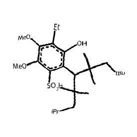 CCc1c(O)c(C(C(C)(C)CC(C)C)C(C)(C)CC(C)(C)C)c(S(=O)(=O)O)c(OC)c1OC